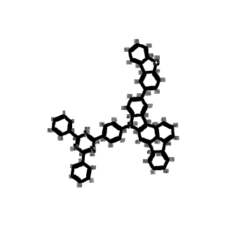 c1ccc(-c2nc(-c3ccccc3)nc(-c3ccc(-n4c5ccc(-c6ccc7oc8ccccc8c7c6)cc5c5c6cccc7c6c(cc54)-c4ccccc4-7)cc3)n2)cc1